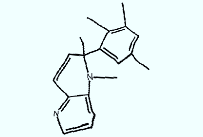 Cc1cc(C)c(C)c(C2(C)C=Cc3ncccc3N2C)c1